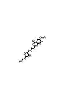 C=CCCc1ccc(CCCCc2cc3ccc(OCCC)c(F)c3c(=O)o2)cc1